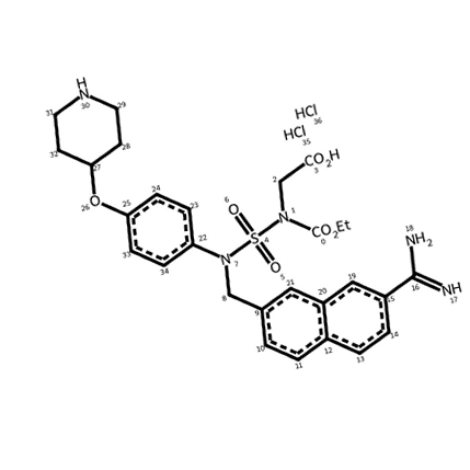 CCOC(=O)N(CC(=O)O)S(=O)(=O)N(Cc1ccc2ccc(C(=N)N)cc2c1)c1ccc(OC2CCNCC2)cc1.Cl.Cl